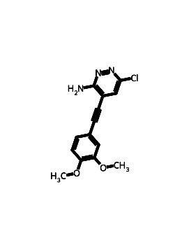 COc1ccc(C#Cc2cc(Cl)nnc2N)cc1OC